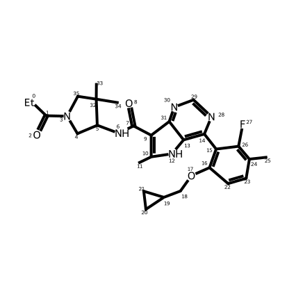 CCC(=O)N1CC(NC(=O)c2c(C)[nH]c3c(-c4c(OCC5CC5)ccc(C)c4F)ncnc23)C(C)(C)C1